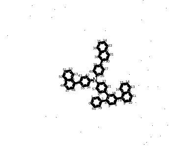 c1ccc(-c2ccc(-c3cccc4ccccc34)cc2-c2ccc(N(c3ccc(-c4ccc5ccccc5c4)cc3)c3ccc(-c4cccc5ccccc45)cc3)cc2)cc1